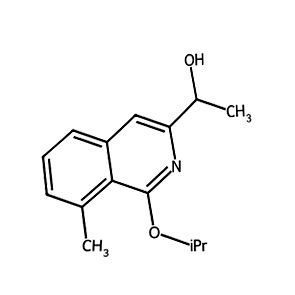 Cc1cccc2cc(C(C)O)nc(OC(C)C)c12